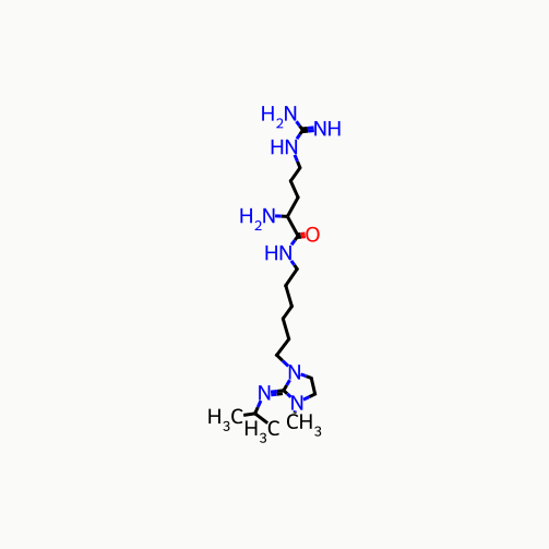 CC(C)/N=C1\N(C)CCN1CCCCCCNC(=O)C(N)CCCNC(=N)N